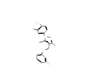 Cc1nn(-c2ccc(C#N)c(Cl)c2)c(C)c1COc1cccc([N+](=O)[O-])c1